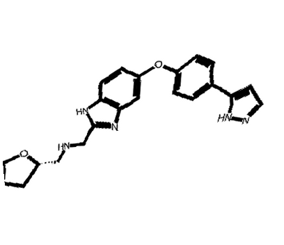 c1cc(-c2ccc(Oc3ccc4[nH]c(CNC[C@@H]5CCCO5)nc4c3)cc2)[nH]n1